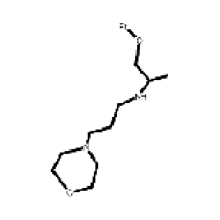 CCOCC(C)NCCCN1CCOCC1